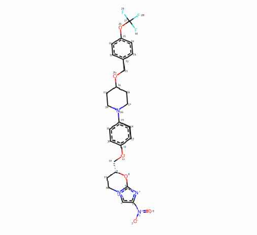 O=[N+]([O-])c1cn2c(n1)O[C@@H](COc1ccc(N3CCC(OCc4ccc(OC(F)(F)F)cc4)CC3)cc1)CC2